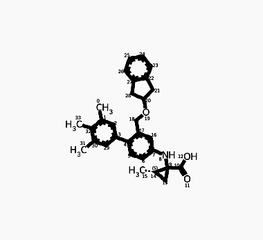 Cc1cc(-c2ccc(NC3(C(=O)O)C[C@@H]3C)cc2COC2Cc3ccccc3C2)cc(C)c1C